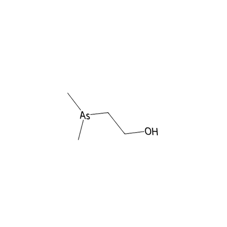 C[As](C)CCO